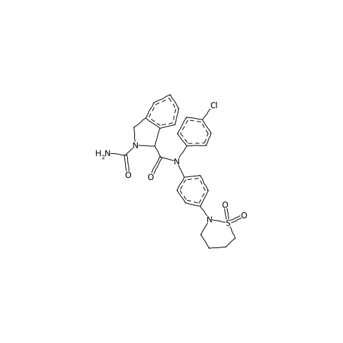 NC(=O)N1Cc2ccccc2C1C(=O)N(c1ccc(Cl)cc1)c1ccc(N2CCCCS2(=O)=O)cc1